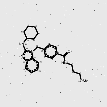 COCCCNC(=O)c1ccc(Cn2c(NC3CCCCC3)nc3ccccc32)cc1